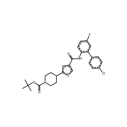 CC(C)(C)OC(=O)N1CCC(c2nc(C(=O)Nc3ccc(F)cc3-c3ccc(Cl)cc3)cs2)CC1